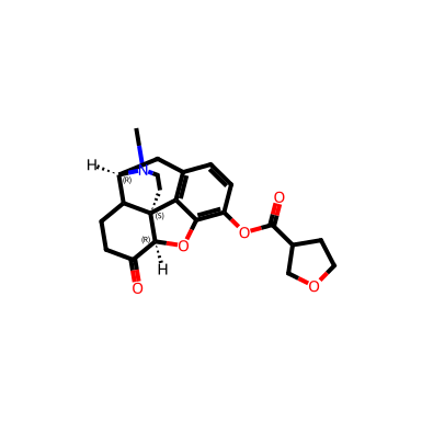 CN1CC[C@]23c4c5ccc(OC(=O)C6CCOC6)c4O[C@H]2C(=O)CCC3[C@H]1C5